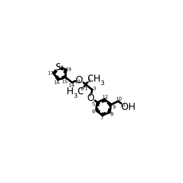 CC(C)(COc1cccc(CO)c1)OCc1ccsc1